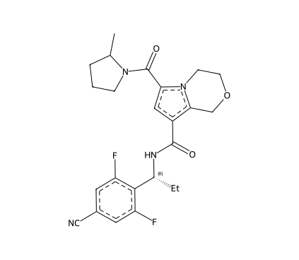 CC[C@@H](NC(=O)c1cc(C(=O)N2CCCC2C)n2c1COCC2)c1c(F)cc(C#N)cc1F